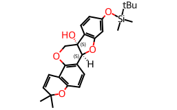 CC1(C)C=Cc2c(ccc3c2OC[C@@]2(O)c4ccc(O[Si](C)(C)C(C)(C)C)cc4O[C@@H]32)O1